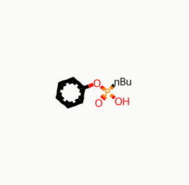 CCCCP(=O)(O)Oc1ccccc1